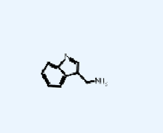 NCC1C=Nc2ccccc21